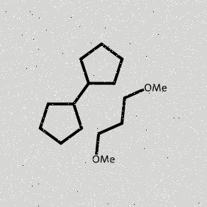 C1CCC(C2CCCC2)C1.COCCCOC